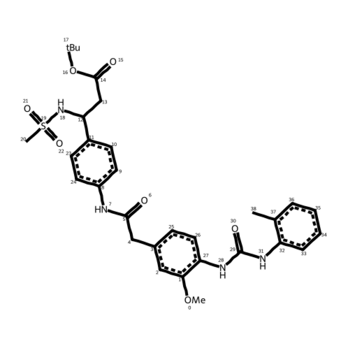 COc1cc(CC(=O)Nc2ccc(C(CC(=O)OC(C)(C)C)NS(C)(=O)=O)cc2)ccc1NC(=O)Nc1ccccc1C